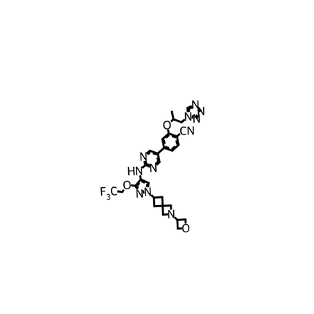 CC(Cn1cnnn1)Oc1cc(-c2cnc(Nc3cn(C4CC5(C4)CN(C4COC4)C5)nc3OCC(F)(F)F)nc2)ccc1C#N